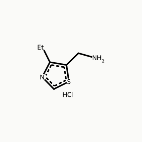 CCc1ncsc1CN.Cl